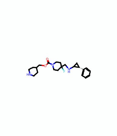 O=C(OCC1CCNCC1)N1CCC(F)(CNC2C[C@@H]2c2ccccc2)CC1